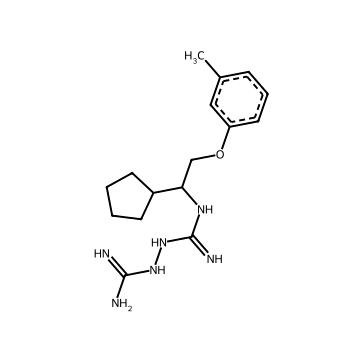 Cc1cccc(OCC(NC(=N)NNC(=N)N)C2CCCC2)c1